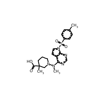 Cc1ccc(S(=O)(=O)n2ccc3c(N(C)N4CCCC(C)(C(=O)O)C4)ncnc32)cc1